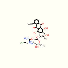 COc1cccc2c1C(=O)c1c(O)c3c(c(O)c1C2=O)C[C@@](O)(C(C)=O)C[C@@H]3OC1CC(NN(CCCl)C(N)=O)C(O)C(C)O1